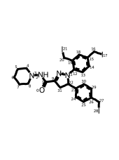 O=C(NN1CCCCC1)C1=NN(c2ccc(CI)cc2CI)C(c2ccc(CI)cc2)C1